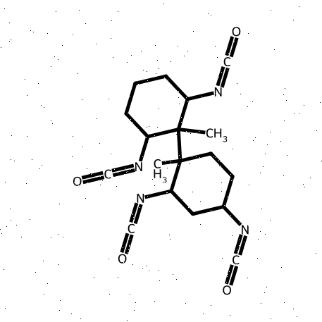 CC1(C2(C)C(N=C=O)CCCC2N=C=O)CCC(N=C=O)CC1N=C=O